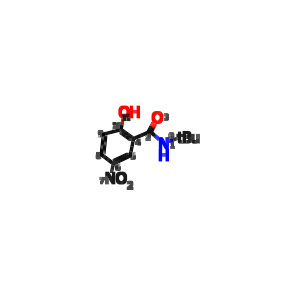 CC(C)(C)NC(=O)c1cc([N+](=O)[O-])ccc1O